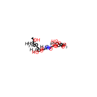 C=C1/C(=C\C=C2/CCCC3(C)C2CCC3C(C)/C=C/C(O)C2CC2)CC(OC(=O)CCC/C(C)=N/NC(=O)CCC(=O)OC2C(C(C)C)C(O)C3OC34C3(C)CCC5=C(COC5=O)C3CC3OC324)CC1O